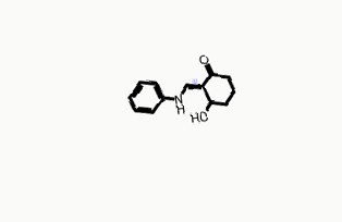 O=C1CCCC(O)/C1=C\Nc1ccccc1